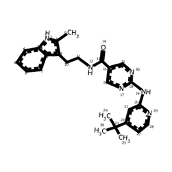 Cc1[nH]c2ccccc2c1CCNC(=O)c1cnc(Nc2cc(C(C)(C)C)ccn2)nc1